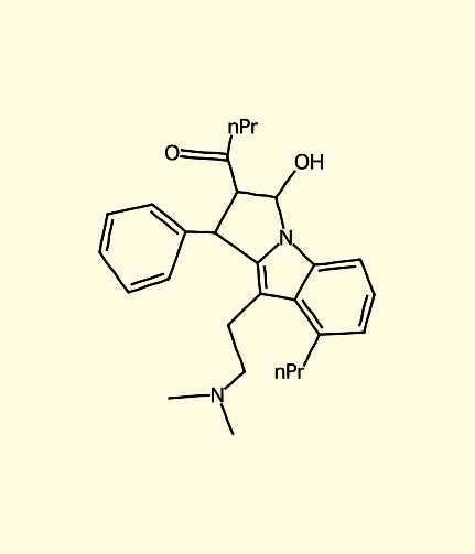 CCCC(=O)C1C(c2ccccc2)c2c(CCN(C)C)c3c(CCC)cccc3n2C1O